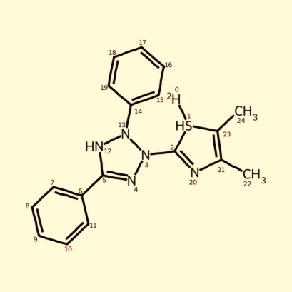 [2H][SH]1C(N2N=C(c3ccccc3)NN2c2ccccc2)=NC(C)=C1C